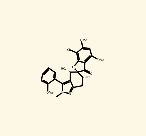 COc1ccccc1-c1c2c(nn1C)C[C@@H](C)[C@]1(Oc3c(Cl)c(OC)cc(OC)c3C1=O)[C@H]2O